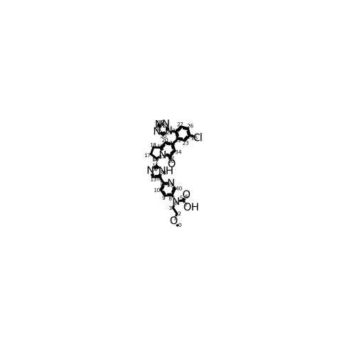 COCCN(C(=O)O)c1ccc(-c2cnc([C@@H]3CCc4cc(-c5cc(Cl)ccc5-n5cnnn5)cc(=O)n43)[nH]2)nc1